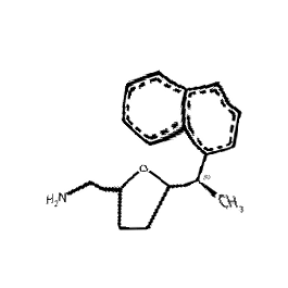 C[C@H](c1cccc2ccccc12)C1CCC(CN)O1